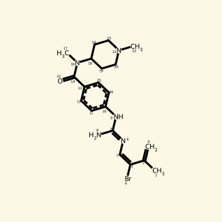 C=C(C)/C(Br)=C\N=C(/N)Nc1ccc(C(=O)N(C)C2CCN(C)CC2)cc1